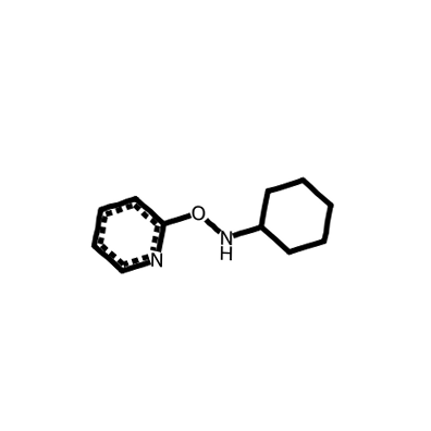 c1ccc(ONC2CCCCC2)nc1